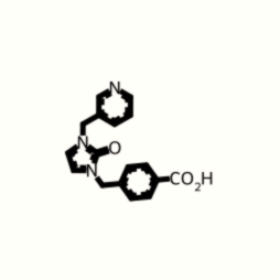 O=C(O)c1ccc(Cn2ccn(Cc3cccnc3)c2=O)cc1